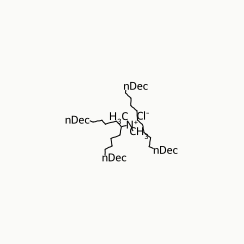 CCCCCCCCCCCCCCC(CCCCCCCCCCCCCC)[N+](C)(C)C(CCCCCCCCCCCCCC)CCCCCCCCCCCCCC.[Cl-]